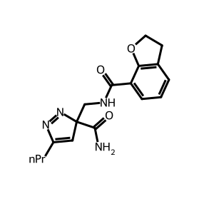 CCCC1=CC(CNC(=O)c2cccc3c2OCC3)(C(N)=O)N=N1